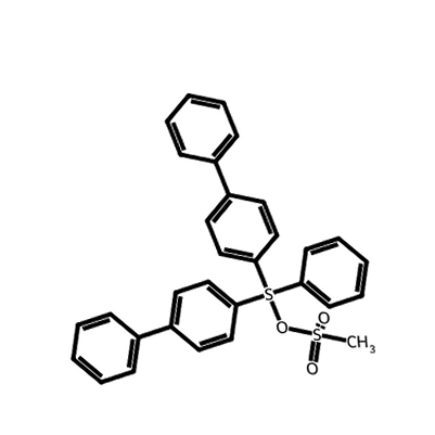 CS(=O)(=O)OS(c1ccccc1)(c1ccc(-c2ccccc2)cc1)c1ccc(-c2ccccc2)cc1